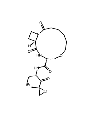 CC(C)C[C@H](NC(=O)[C@@H]1COCCCCCC(=O)N2CC[C@H]2C(=O)N1)C(=O)[C@@]1(C)CO1